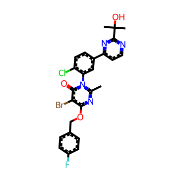 Cc1nc(OCc2ccc(F)cc2)c(Br)c(=O)n1-c1cc(-c2ccnc(C(C)(C)O)n2)ccc1Cl